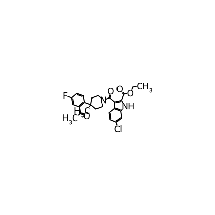 CCOC(=O)c1[nH]c2cc(Cl)ccc2c1C(=O)N1CCC(C)(c2ccc(F)cc2C(C)=O)CC1